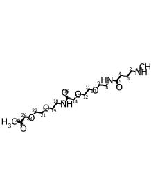 CNCCCC(=O)NCCOCCOCC(=O)NCCOCCOCC(C)=O